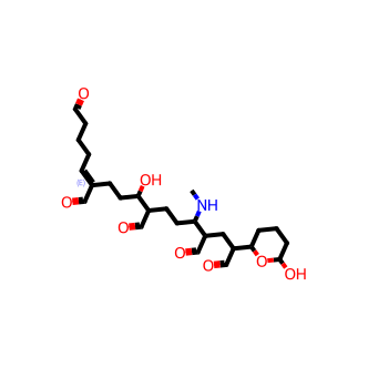 CNC(CCC(C=O)C(O)CC/C(C=O)=C\CCCC=O)C(C=O)CC(C=O)C1CCCC(O)O1